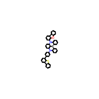 c1ccc2c(c1)B1c3ccccc3N(c3cccc4c3oc3ccccc34)c3cccc(c31)N2c1ccc(-c2cccc3c2sc2ccccc23)cc1